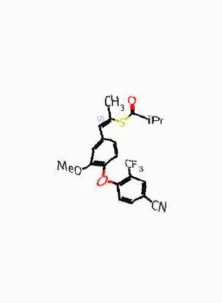 COc1cc(/C=C(/C)SC(=O)C(C)C)ccc1Oc1ccc(C#N)cc1C(F)(F)F